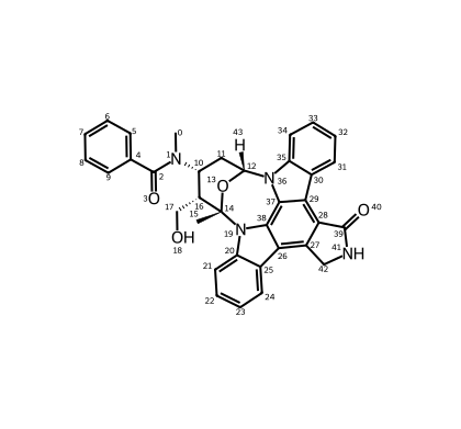 CN(C(=O)c1ccccc1)[C@@H]1C[C@H]2O[C@@](C)([C@@H]1CO)n1c3ccccc3c3c4c(c5c6ccccc6n2c5c31)C(=O)NC4